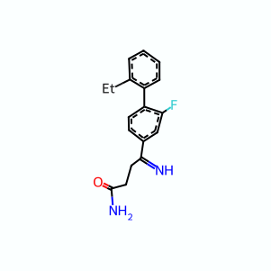 CCc1ccccc1-c1ccc(C(=N)CCC(N)=O)cc1F